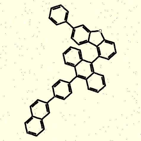 c1ccc(-c2ccc3c(c2)oc2cccc(-c4c5ccccc5c(-c5ccc(-c6ccc7ccccc7c6)cc5)c5ccccc45)c23)cc1